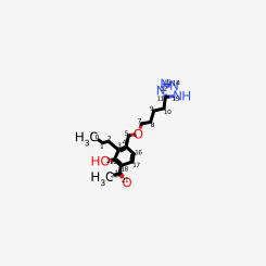 CCCc1c(COCCCCc2nnn[nH]2)ccc(C(C)=O)c1O